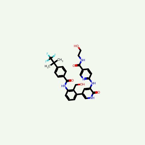 CC(C)(c1ccc(C(=O)Nc2cccc(-c3c[nH]c(=O)c(Nc4ccc(C(=O)NCCO)cn4)c3)c2CO)cc1)C(F)(F)F